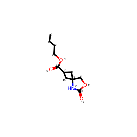 CCCCOC(=O)C1CC2(COC(=O)N2)C1